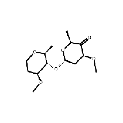 CO[C@H]1C[C@H](O[C@H]2[C@H](C)OCC[C@@H]2OC)O[C@@H](C)C1=O